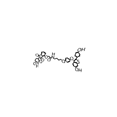 O=C(COc1cccc2c1C(=O)N(C1CCC(=O)NC1=O)C2=O)NCCCCOc1ccc(Oc2c(-c3ccc(O)cc3)sc3cc(O)ccc23)cc1